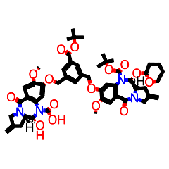 C=C1C[C@H]2[C@H](O)N(C(=O)O)c3cc(OCc4cc(COc5cc6c(cc5OC)C(=O)N5CC(=C)C[C@H]5[C@H](OC5CCCCO5)N6C(=O)OC(C)(C)C)cc(C(=O)OC(C)(C)C)c4)c(OC)cc3C(=O)N2C1